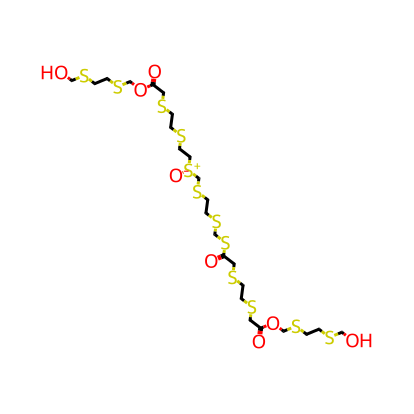 O=C(CSCCSCC[S+]([O-])CSCCSCSC(=O)CSCCSCC(=O)OCSCCSCO)OCSCCSCO